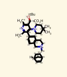 Cc1nc(C)c([C@H](OC(C)(C)C)C(=O)O)c(N2CCC(C)(C)CC2)c1-c1ccc2c(c1)CCN(C[C@H]1C[C@H]3C=CC1C3)C2